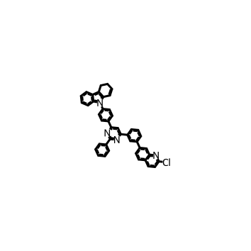 Clc1ccc2ccc(-c3cccc(-c4cc(-c5ccc(-n6c7c(c8ccccc86)CCC=C7)cc5)nc(-c5ccccc5)n4)c3)cc2n1